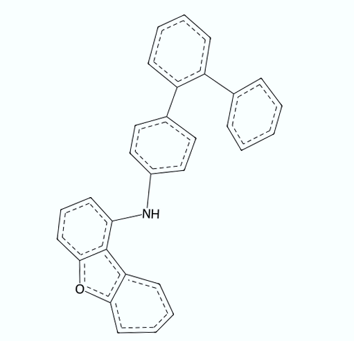 c1ccc(-c2ccccc2-c2ccc(Nc3cccc4oc5ccccc5c34)cc2)cc1